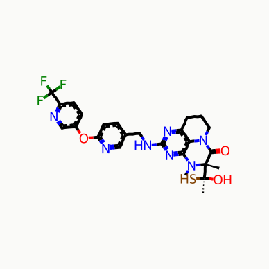 CN1c2nc(NCc3ccc(Oc4ccc(C(F)(F)F)nc4)nc3)nc3c2N(CCC3)C(=O)[C@]1(C)[C@@](C)(O)S